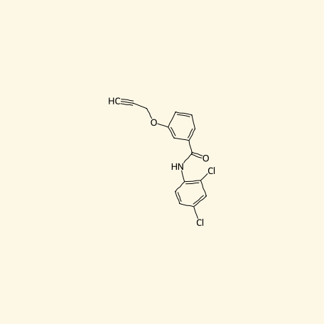 C#CCOc1cccc(C(=O)Nc2ccc(Cl)cc2Cl)c1